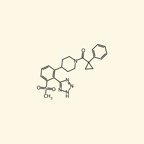 CS(=O)(=O)c1cccc(C2CCN(C(=O)C3(c4ccccc4)CC3)CC2)c1-c1nn[nH]n1